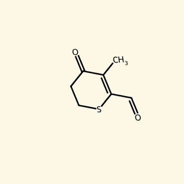 CC1=C(C=O)SCCC1=O